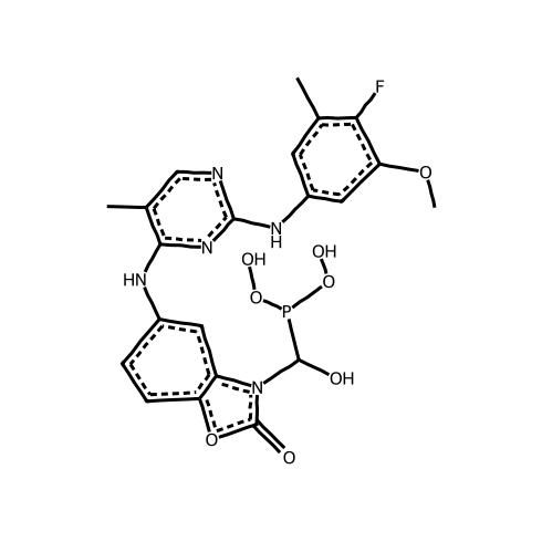 COc1cc(Nc2ncc(C)c(Nc3ccc4oc(=O)n(C(O)P(OO)OO)c4c3)n2)cc(C)c1F